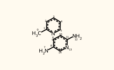 Cc1ccccn1.Nc1ccc(N)nc1